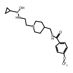 O=C(NCC1CCN(CCNP(O)C2CC2)CC1)c1ccc(OC(F)(F)F)cc1